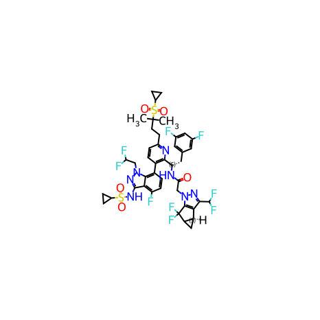 CC(C)(CCc1ccc(-c2ccc(F)c3c(NS(=O)(=O)C4CC4)nn(CC(F)F)c23)c([C@H](Cc2cc(F)cc(F)c2)NC(=O)Cn2nc(C(F)F)c3c2C(F)(F)C2C[C@H]32)n1)S(=O)(=O)C1CC1